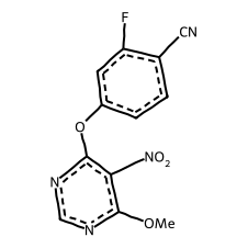 COc1ncnc(Oc2ccc(C#N)c(F)c2)c1[N+](=O)[O-]